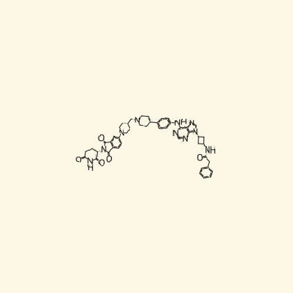 O=C1CC[C@H](N2C(=O)c3ccc(N4CCC(CN5CCC(c6ccc(Nc7ncnc8c7ncn8C7CC(NC(=O)Cc8ccccc8)C7)cc6)CC5)CC4)cc3C2=O)C(=O)N1